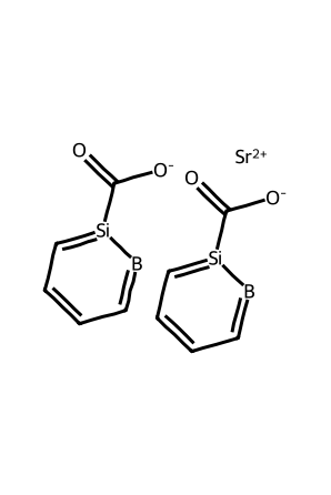 O=C([O-])[si]1bcccc1.O=C([O-])[si]1bcccc1.[Sr+2]